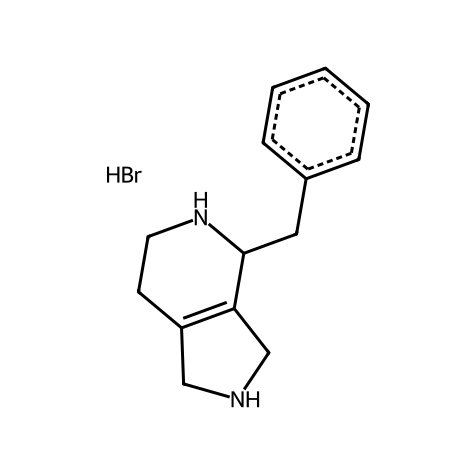 Br.c1ccc(CC2NCCC3=C2CNC3)cc1